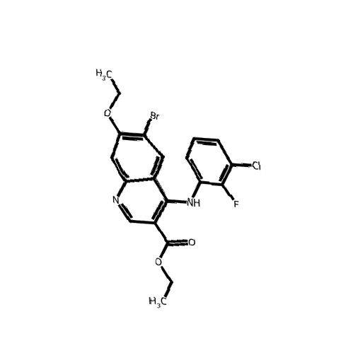 CCOC(=O)c1cnc2cc(OCC)c(Br)cc2c1Nc1cccc(Cl)c1F